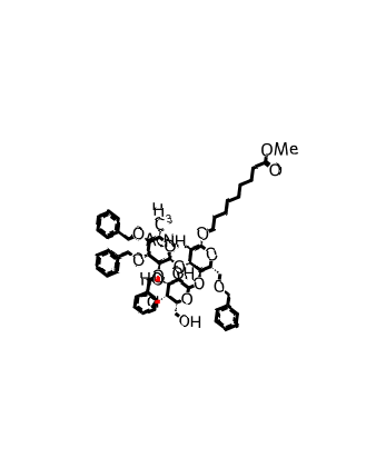 COC(=O)CCCCCCCCO[C@@H]1O[C@H](COCc2ccccc2)[C@@H](OC2O[C@H](CO)[C@H](Cl)[C@H](O)[C@H]2O)[C@H](O[C@@H]2O[C@@H](C)[C@@H](OCc3ccccc3)[C@@H](OCc3ccccc3)[C@@H]2OCc2ccccc2)[C@H]1NC(C)=O